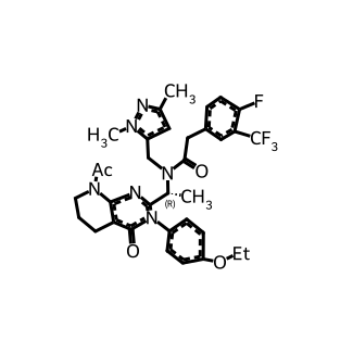 CCOc1ccc(-n2c([C@@H](C)N(Cc3cc(C)nn3C)C(=O)Cc3ccc(F)c(C(F)(F)F)c3)nc3c(c2=O)CCCN3C(C)=O)cc1